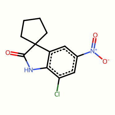 O=C1Nc2c(Cl)cc([N+](=O)[O-])cc2C12CCCC2